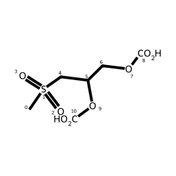 CS(=O)(=O)CC(COC(=O)O)OC(=O)O